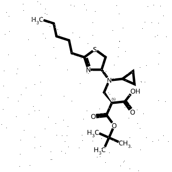 CCCCCC1=NC(N(C[C@@H](C(=O)O)C(=O)OC(C)(C)C)C2CC2)CS1